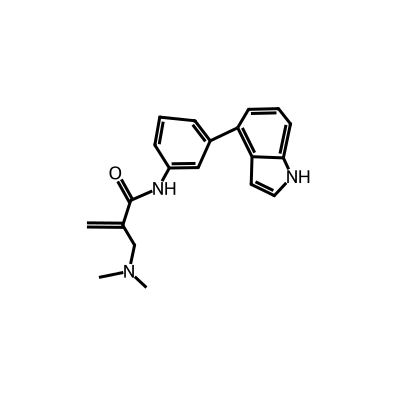 C=C(CN(C)C)C(=O)Nc1cccc(-c2cccc3[nH]ccc23)c1